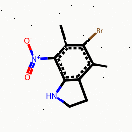 Cc1c(Br)c(C)c([N+](=O)[O-])c2c1CCN2